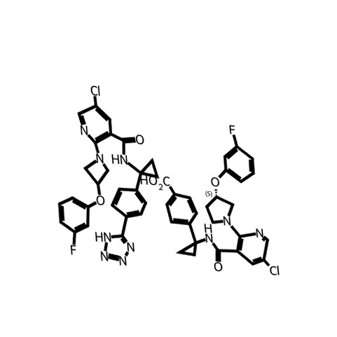 O=C(NC1(c2ccc(-c3nnn[nH]3)cc2)CC1)c1cc(Cl)cnc1N1CC(Oc2cccc(F)c2)C1.O=C(O)c1ccc(C2(NC(=O)c3cc(Cl)cnc3N3CC[C@H](Oc4cccc(F)c4)C3)CC2)cc1